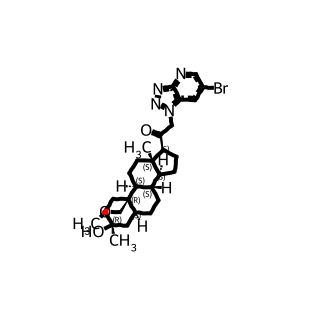 COC[C@]12CC[C@@](C)(O)C[C@@H]1CC[C@H]1[C@@H]3CC[C@H](C(=O)Cn4nnc5ncc(Br)cc54)[C@@]3(C)CC[C@@H]12